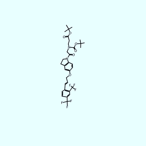 CC(C)(C)OC(=O)CCN(CC(=O)N1CCc2cc(OCC=Cc3ccc(C(F)(F)F)cc3C(F)(F)F)ccc21)C(=O)OC(C)(C)C